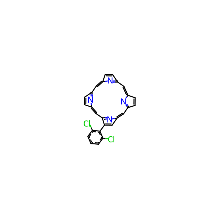 Clc1cccc(Cl)c1C1=CC2=CC3=NC(=CC4=NC(=CC5=NC(=CC1=N2)C=C5)C=C4)C=C3